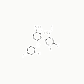 CCNc1cc(=O)n(C)cc1-c1cc(N)ccc1Oc1ccc(F)cc1F